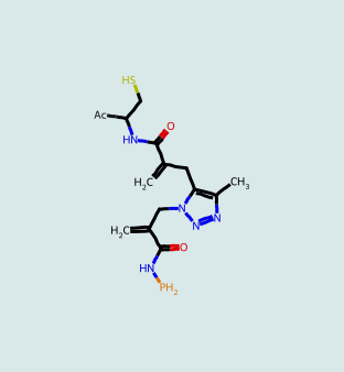 C=C(Cn1nnc(C)c1CC(=C)C(=O)NC(CS)C(C)=O)C(=O)NP